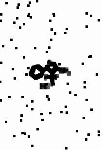 Cl.Nc1cnn(-c2ccccc2)c1C(F)(F)F